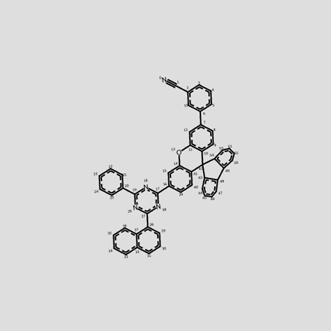 N#Cc1cccc(-c2ccc3c(c2)Oc2cc(-c4nc(-c5ccccc5)nc(-c5cccc6ccccc56)n4)ccc2C32c3ccccc3-c3ccccc32)c1